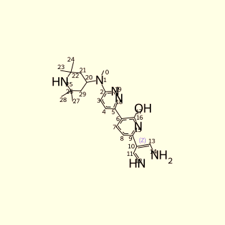 CN(c1ccc(-c2ccc(/C(C=N)=C/N)nc2O)nn1)C1CC(C)(C)NC(C)(C)C1